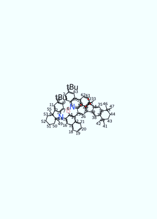 CC(C)(C)c1ccc(N2B3c4cc(C(C)(C)C)cc5c4N(c4cc6ccccc6c(c43)-c3cc4c(cc32)C(C)(C)c2cc3c(cc2-4)C(C)(C)CCC3(C)C)C2(C)CCCCC52C)c(-c2ccccc2)c1